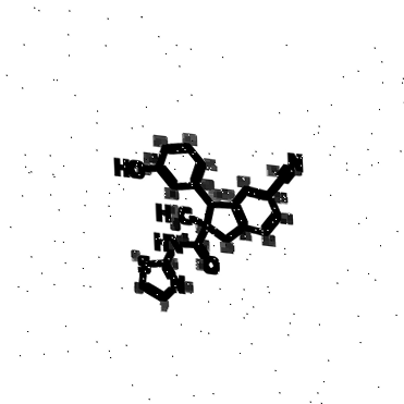 CC1(C(=O)Nc2nccs2)Cc2ccc(C#N)cc2C1c1cccc(O)c1